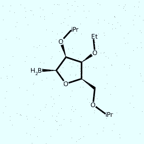 B[C@@H]1O[C@H](COC(C)C)[C@H](OCC)[C@@H]1OC(C)C